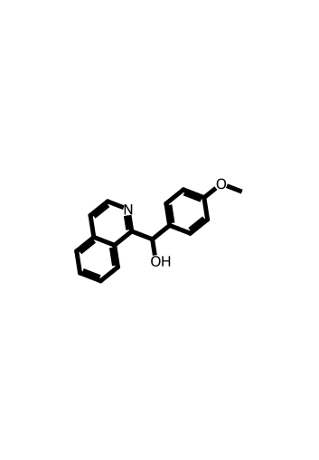 COc1ccc(C(O)c2nccc3ccccc23)cc1